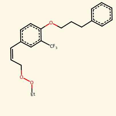 CCOOC/C=C\c1ccc(OCCCc2ccccc2)c(C(F)(F)F)c1